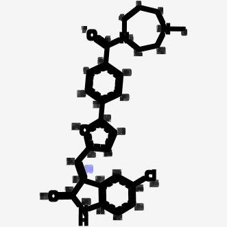 CN1CCCN(C(=O)c2ccc(-c3ccc(/C=C4/C(=O)Nc5ccc(Cl)cc54)o3)cc2)CC1